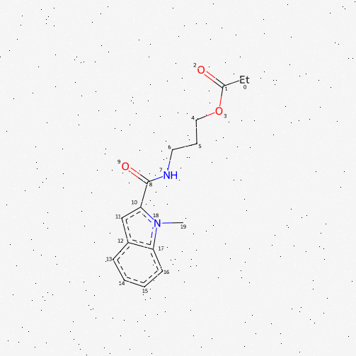 CCC(=O)OCCCNC(=O)c1cc2ccccc2n1C